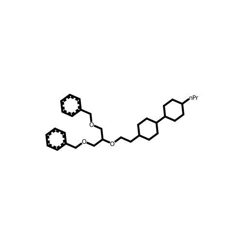 CCCC1CCC(C2CCC(CCOC(COCc3ccccc3)COCc3ccccc3)CC2)CC1